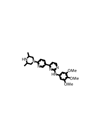 COc1cc(Nc2nccc(-c3ccc(N4CC(C)NC(C)C4)nc3)n2)cc(OC)c1OC